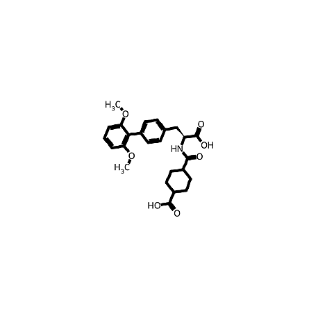 COc1cccc(OC)c1-c1ccc(C[C@H](NC(=O)C2CCC(C(=O)O)CC2)C(=O)O)cc1